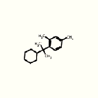 Cc1ccc(C(C)(C)C2CCCCC2)c(C)c1